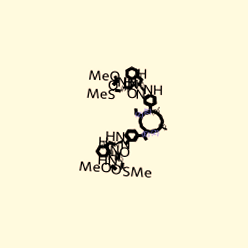 C/C=C1\C=C(\c2ccc3[nH]c([C@@H]4C[C@@H]5CCCC[C@@H]5N4C(=O)[C@H](CCSC)NC(=O)OC)nc3c2)[C@H](C)CC[C@@H](C)/C=C\C(=C(/C)c2ccc3[nH]c([C@@H]4C[C@@H]5CCCC[C@@H]5N4C(=O)[C@H](CCSC)NC(=O)OC)nc3c2)CC1